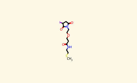 CSCCNC(=O)CCOCCN1C(=O)CC(I)C1=O